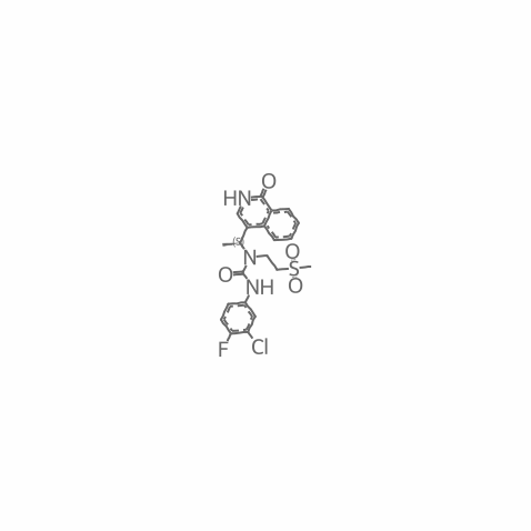 C[C@@H](c1c[nH]c(=O)c2ccccc12)N(CCS(C)(=O)=O)C(=O)Nc1ccc(F)c(Cl)c1